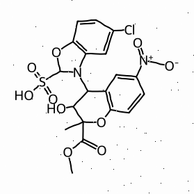 COC(=O)C1(C)Oc2ccc([N+](=O)[O-])cc2C(N2c3cc(Cl)ccc3OC2S(=O)(=O)O)C1O